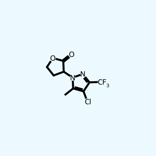 Cc1c(Cl)c(C(F)(F)F)nn1C1CCOC1=O